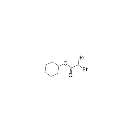 CCC(C(=O)OC1CCCCC1)C(C)C